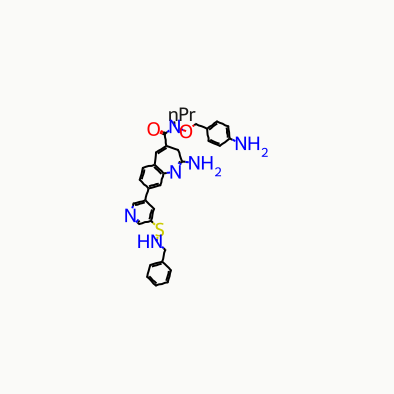 CCCN(OCc1ccc(N)cc1)C(=O)C1=Cc2ccc(-c3cncc(SNCc4ccccc4)c3)cc2N=C(N)C1